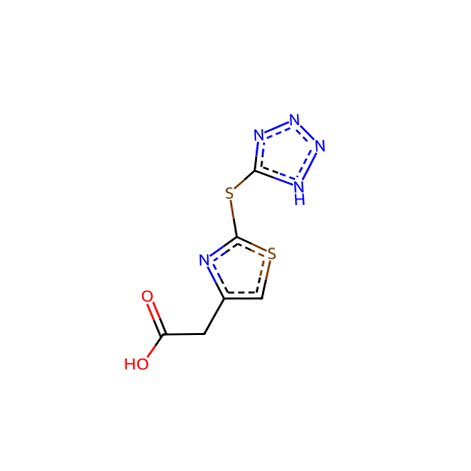 O=C(O)Cc1csc(Sc2nnn[nH]2)n1